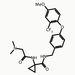 COc1ccc(Oc2ccc(CNC(=O)C3(NC(=O)CN(C)C)CC3)cc2)c(C(F)(F)F)c1